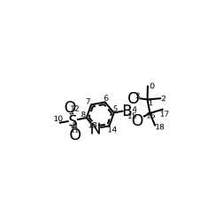 CC1(C)OB(c2ccc(S(C)(=O)=O)nc2)OC1(C)C